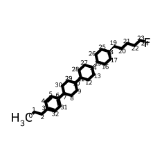 CCCc1ccc(C2CCC(C3CCC([C@H]4CC[C@H](CCCCCF)CC4)CC3)CC2)cc1